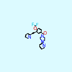 O=C(c1ccc(OC(F)F)c(C#Cc2ccccn2)c1)N1CCN(c2ccccn2)CC1